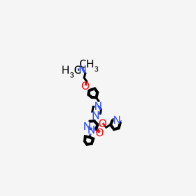 CN(C)CCCOc1ccc(CN2CCN(c3cnn(-c4ccccc4)c(=O)c3OCc3cccnc3)CC2)cc1